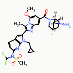 COc1cc(C(=O)N2C[C@@H]3CC[C@H]2[C@H](N)C3)cc2nc(-c3cc4ccc(N(C(F)F)S(C)(=O)=O)nc4n3CC3CC3)c(C)n12